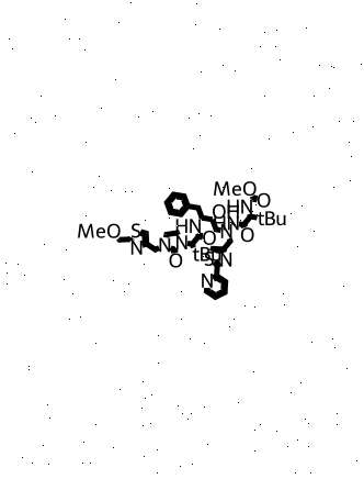 COCc1nc(CN2CCN(C(C(=O)NC(Cc3ccccc3)C(O)CN(Cc3csc(-c4ccccn4)n3)NC(=O)C(NC(=O)OC)C(C)(C)C)C(C)(C)C)C2=O)cs1